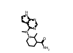 CC1C(C(N)=O)CCCN1N(C)c1ncnc2[nH]ccc12